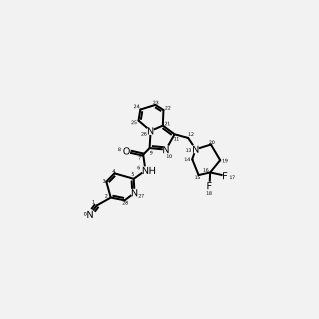 N#Cc1ccc(NC(=O)c2nc(CN3CCC(F)(F)CC3)c3ccccn23)nc1